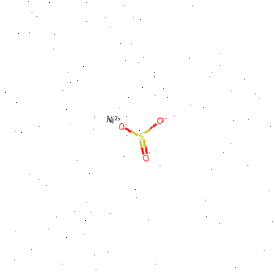 O=S([O-])[O-].[Ni+2]